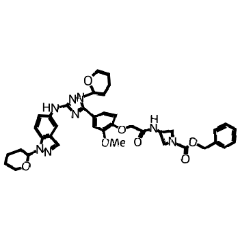 COc1cc(-c2nc(Nc3ccc4c(cnn4C4CCCCO4)c3)nn2C2CCCCO2)ccc1OCC(=O)NC1CN(C(=O)OCc2ccccc2)C1